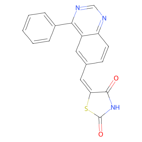 O=C1NC(=O)/C(=C\c2ccc3ncnc(-c4ccccc4)c3c2)S1